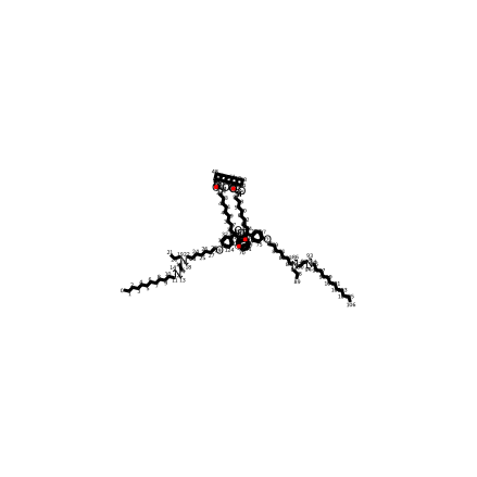 CCCCCCCCCCCC[N+](C)(C)CC[N+](C)(CCC)CCCCCCCOc1ccc(C(O)(CCCCCCCCC[Si]23OC4CC5C6C7C8CC9O[Si]%10(CCCCCCCCC(O)(c%11ccccc%11)c%11ccc(OCCCCCCC[N+](C)(CCC)CC[N+](C)(C)CCCCCCCCCCCC)cc%11)OC98C7(O%10)C6(O2)C45O3)c2ccccc2)cc1